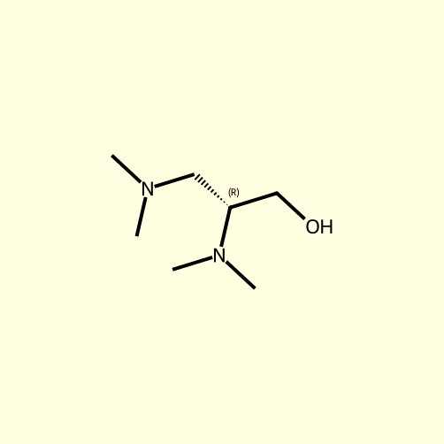 CN(C)C[C@H](CO)N(C)C